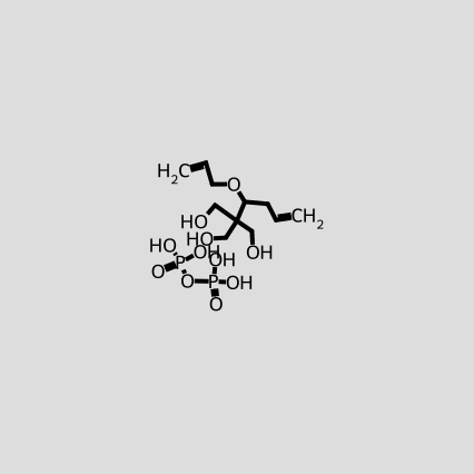 C=CCOC(CC=C)C(CO)(CO)CO.O=P(O)(O)OP(=O)(O)O